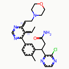 C/C=c1/c(-c2ccc(C)c(C(CC(N)=O)c3nccnc3Cl)c2)ncn/c1=C/CN1CCOCC1